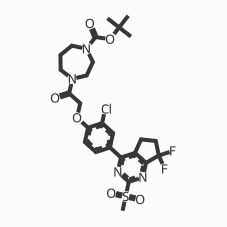 CC(C)(C)OC(=O)N1CCCN(C(=O)COc2ccc(-c3nc(S(C)(=O)=O)nc4c3CCC4(F)F)cc2Cl)CC1